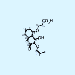 C/C=C\Oc1c(O)c2c(OCCC(=O)O)cccc2oc1=O